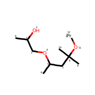 CC(O)COC(C)CC(C)(C)OC(C)C